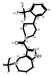 CC(C)(C)N1CCCc2[nH]nc(C(=O)N3CCC(c4ccccc4C(F)(F)F)CC3)c2C1